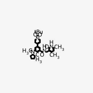 Cc1cc(C)c(CNC(=O)c2cc(C3=CCN(C(=O)OC(C)(C)C)CC3)cc(N(C)C3CCCC3)c2C)c(=O)[nH]1